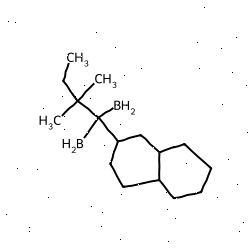 BC(B)(C1CCC2CCCCC2C1)C(C)(C)CC